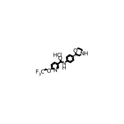 Cl.O=C(Nc1ccc([C@@H]2CNCCO2)cc1)c1ccc(OCC(F)(F)F)nc1